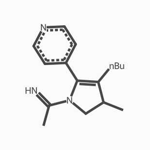 CCCCC1=C(c2ccncc2)N(C(C)=N)CC1C